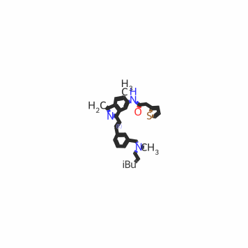 C=C1N=C(/C=C/c2cccc(CN(C)CCC(C)CC)c2)c2cc(NC(=O)Cc3cccs3)c(C)cc21